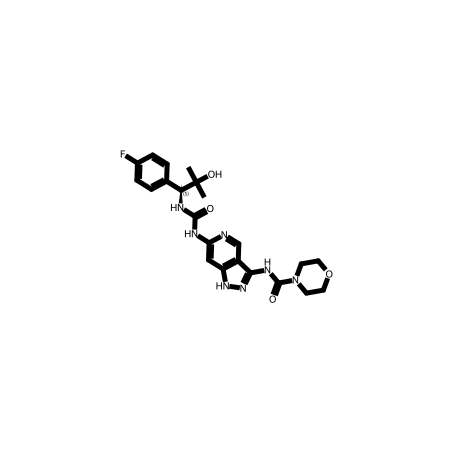 CC(C)(O)[C@@H](NC(=O)Nc1cc2[nH]nc(NC(=O)N3CCOCC3)c2cn1)c1ccc(F)cc1